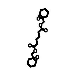 O=C(CCCCC(=O)OCC12CCCCC1O2)OCC12CCCCC1O2